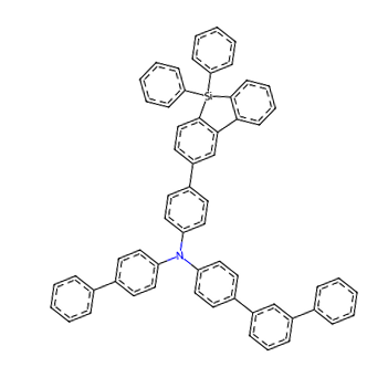 c1ccc(-c2ccc(N(c3ccc(-c4cccc(-c5ccccc5)c4)cc3)c3ccc(-c4ccc5c(c4)-c4ccccc4[Si]5(c4ccccc4)c4ccccc4)cc3)cc2)cc1